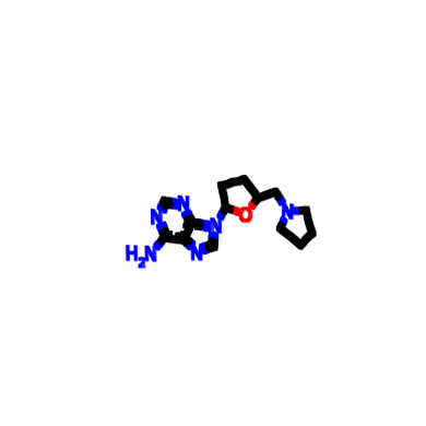 Nc1ncnc2c1ncn2C1CCC(CN2CCCC2)O1